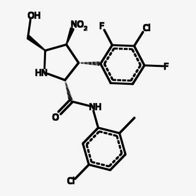 Cc1ccc(Cl)cc1NC(=O)[C@@H]1N[C@@H](CO)[C@@H]([N+](=O)[O-])[C@@H]1c1ccc(F)c(Cl)c1F